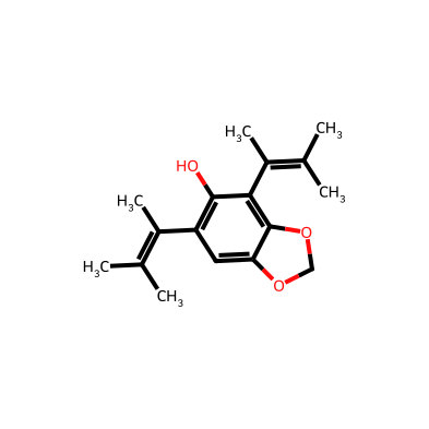 CC(C)=C(C)c1cc2c(c(C(C)=C(C)C)c1O)OCO2